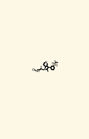 Cc1c(-c2cccc(S(=O)(=O)N(C)C)c2)c2cnccc2n1C/C(F)=C/CNCl